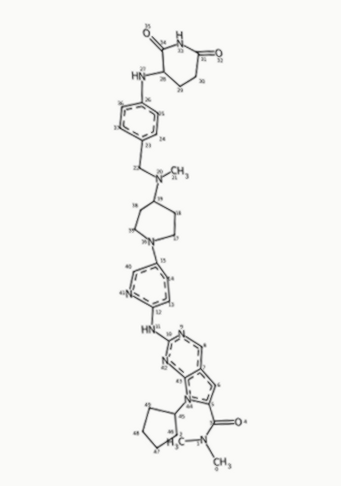 CN(C)C(=O)c1cc2cnc(Nc3ccc(N4CCC(N(C)Cc5ccc(NC6CCC(=O)NC6=O)cc5)CC4)cn3)nc2n1C1CCCC1